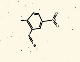 Cc1ccc([SH](=O)=O)cc1N=C=S